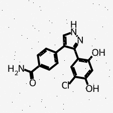 NC(=O)c1ccc(-c2c[nH]nc2-c2cc(Cl)c(O)cc2O)cc1